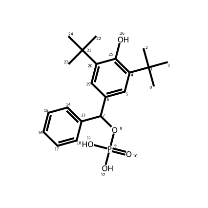 CC(C)(C)c1cc(C(OP(=O)(O)O)c2ccccc2)cc(C(C)(C)C)c1O